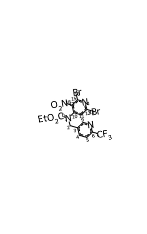 CCOC(=O)N(Cc1ccc(C(F)(F)F)nc1)c1cc(Br)nc(Br)c1[N+](=O)[O-]